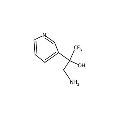 NCC(O)(c1cccnc1)C(F)(F)F